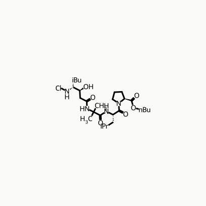 CCCCOC(=O)[C@@H]1CCCN1C(=O)[C@H](CC(C)C)NC(=O)C(C)(C)NC(=O)C[C@H](O)[C@H](NCl)[C@@H](C)CC